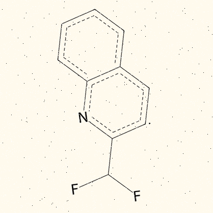 FC(F)c1[c]cc2ccccc2n1